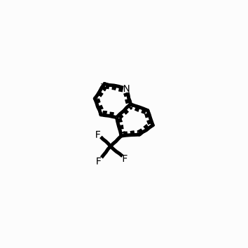 FC(F)(F)c1cccc2n[c]ccc12